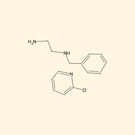 Clc1ccccn1.NCCNCc1ccccc1